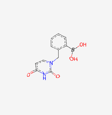 O=c1ccn(Cc2ccccc2B(O)O)c(=O)[nH]1